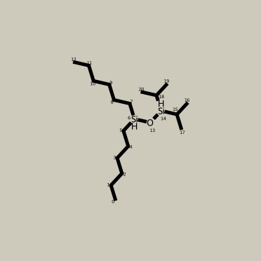 CCCCCC[SiH](CCCCCC)O[SiH](C(C)C)C(C)C